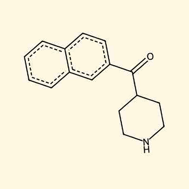 O=C(c1ccc2ccccc2c1)C1CCNCC1